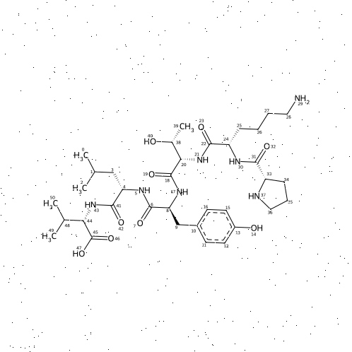 CC(C)C[C@H](NC(=O)[C@H](Cc1ccc(O)cc1)NC(=O)[C@@H](NC(=O)[C@H](CCCCN)NC(=O)[C@@H]1CCCN1)[C@@H](C)O)C(=O)N[C@H](C(=O)O)C(C)C